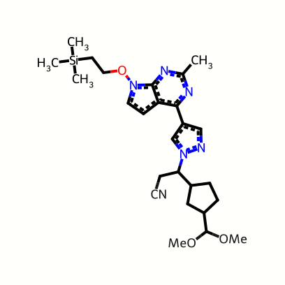 COC(OC)C1CCC(C(CC#N)n2cc(-c3nc(C)nc4c3ccn4OCC[Si](C)(C)C)cn2)C1